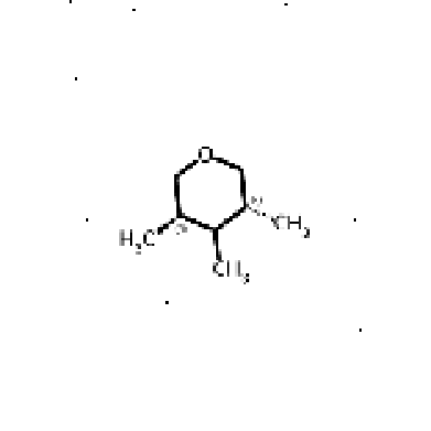 CC1[C@@H](C)COC[C@@H]1C